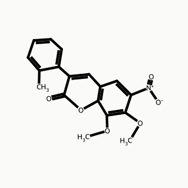 COc1c([N+](=O)[O-])cc2cc(-c3ccccc3C)c(=O)oc2c1OC